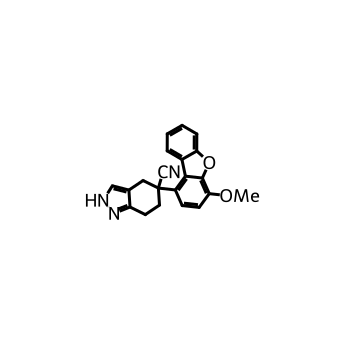 COc1ccc(C2(C#N)CCc3n[nH]cc3C2)c2c1oc1ccccc12